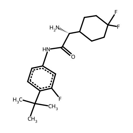 CC(C)(C)c1ccc(NC(=O)[C@H](N)C2CCC(F)(F)CC2)cc1F